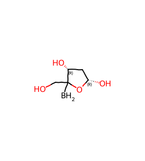 BC1(CO)O[C@@H](O)C[C@H]1O